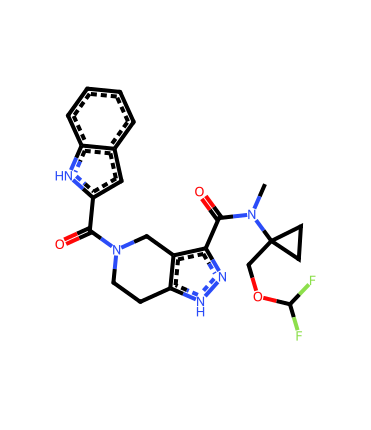 CN(C(=O)c1n[nH]c2c1CN(C(=O)c1cc3ccccc3[nH]1)CC2)C1(COC(F)F)CC1